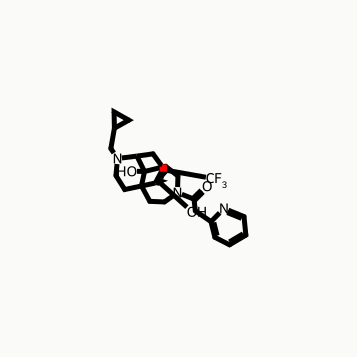 O=C(Cc1ccccn1)N1CCC23CCN(CC4CC4)C(Cc4cc(C(F)(F)F)c(O)cc42)C3(O)CC1